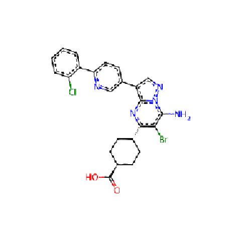 Nc1c(Br)c([C@H]2CC[C@H](C(=O)O)CC2)nc2c(-c3ccc(-c4ccccc4Cl)nc3)cnn12